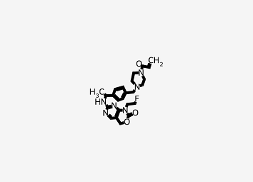 C=CC(=O)N1CCN(Cc2ccc(C(C)Nc3ncc4c(n3)N(CCF)C(=O)OC4)cc2)CC1